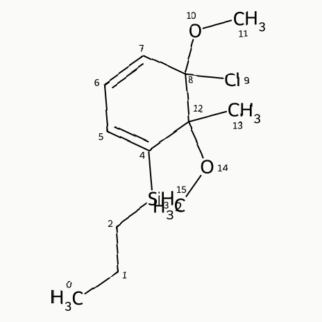 CCC[SiH2]C1=CC=CC(Cl)(OC)C1(C)OC